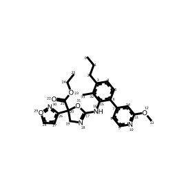 CCCc1ccc(-c2ccnc(OC)c2)c(NC2=NCC(C(=O)OCC)(c3ccon3)O2)c1C